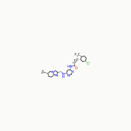 O=C(Nc1cc(NCc2cn3cc(C4CC4)ccc3n2)ncn1)[C@H]1C[C@@H]1c1cc(Cl)ccc1C(F)(F)F